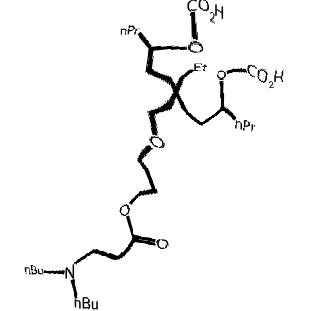 CCCCN(CCCC)CCC(=O)OCCOCC(CC)(CC(CCC)OC(=O)O)CC(CCC)OC(=O)O